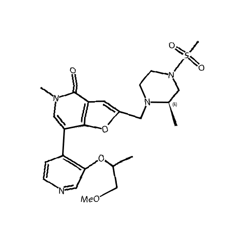 COCC(C)Oc1cnccc1-c1cn(C)c(=O)c2cc(CN3CCN(S(C)(=O)=O)C[C@H]3C)oc12